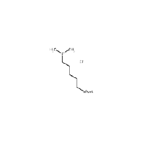 CCCCCCCCCC[S+](C)C.[Cl-]